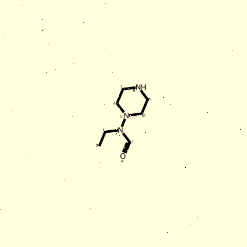 CCN([C]=O)N1CCNCC1